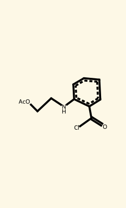 CC(=O)OCCNc1ccccc1C(=O)Cl